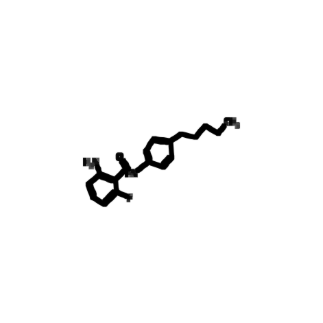 CCCCCc1ccc(NC(=O)c2c(N)cccc2F)cc1